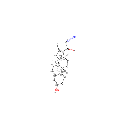 CC1=C(C(=O)C=[N+]=[N-])[C@@]2(C)CC[C@H]3[C@@H](CC=C4CC(O)CC[C@@]43C)[C@@H]2C1